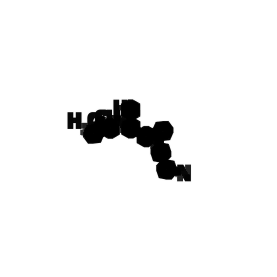 CC1(C)c2ccccc2-c2ccc(Nc3ccc(-c4ccc5c(c4)c4ccccc4n5-c4ccc(-c5cccc(C#N)c5)cc4)cc3-c3ccccc3)cc21